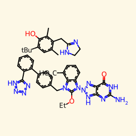 CCOc1nc2cccc(C(=O)O)c2n1Cc1ccc(-c2ccccc2-c2nnn[nH]2)cc1.Cc1cc(C(C)(C)C)c(O)c(C)c1CC1=NCCN1.Nc1nc2[nH]nnc2c(=O)[nH]1